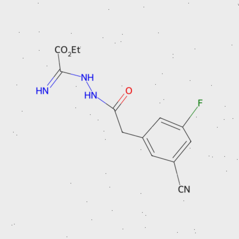 CCOC(=O)C(=N)NNC(=O)Cc1cc(F)cc(C#N)c1